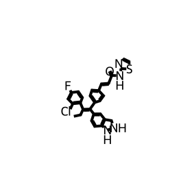 CC/C(=C(/c1ccc(/C=C/C(=O)Nc2nccs2)cc1)c1ccc2c(c1)CNN2)c1ccc(F)cc1Cl